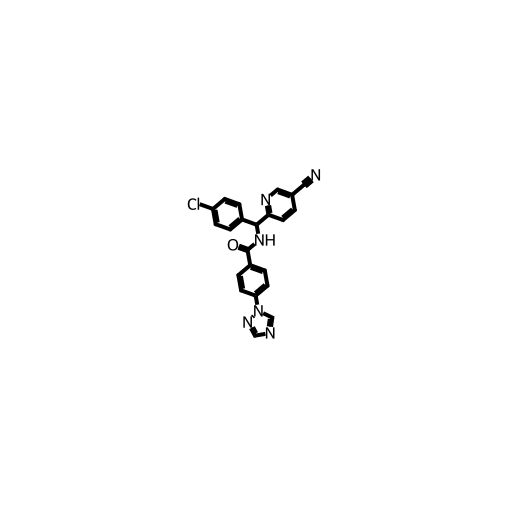 N#Cc1ccc(C(NC(=O)c2ccc(-n3cncn3)cc2)c2ccc(Cl)cc2)nc1